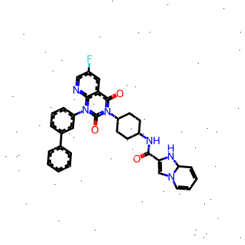 O=C(NC1CCC(n2c(=O)c3cc(F)cnc3n(-c3cccc(-c4ccccc4)c3)c2=O)CC1)C1=CN2C=CC=CC2N1